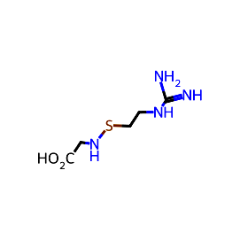 N=C(N)NCCSNCC(=O)O